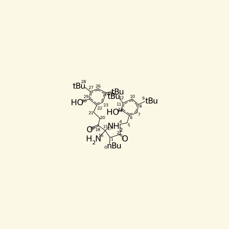 CCCCC(C(=O)CCc1cc(C(C)(C)C)cc(C(C)(C)C)c1O)C(N)(N)C(=O)CCc1cc(C(C)(C)C)cc(C(C)(C)C)c1O